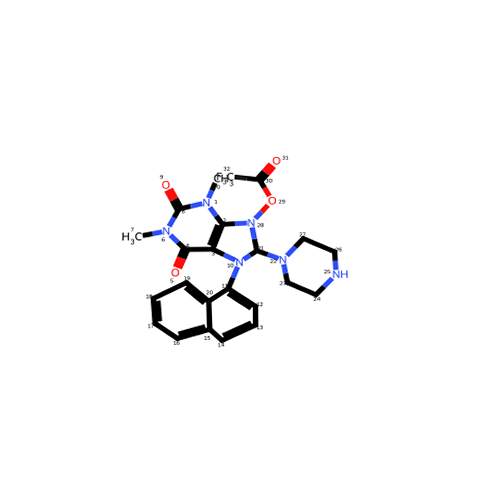 Cn1c2c(c(=O)n(C)c1=O)N(c1cccc3ccccc13)C(N1CCNCC1)N2OC(=O)C(F)(F)F